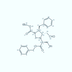 CC(C)C[C@@H](C(=O)OCc1ccccc1)N1CN(C(=O)OC(C)(C)C)[C@@H](Cc2ccccc2)[C@@H]1CC=O